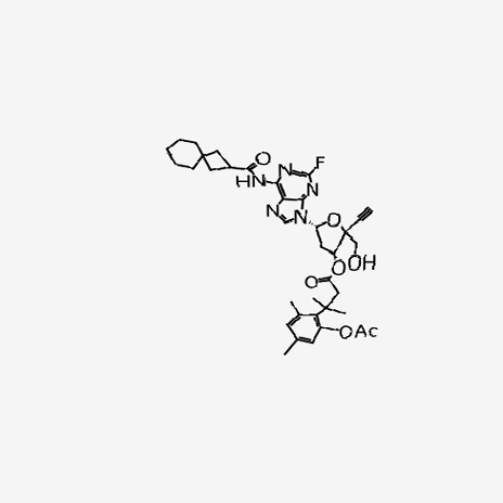 C#C[C@]1(CO)O[C@@H](n2cnc3c(NC(=O)C4CC5(CCCCC5)C4)nc(F)nc32)C[C@@H]1OC(=O)CC(C)(C)c1c(C)cc(C)cc1OC(C)=O